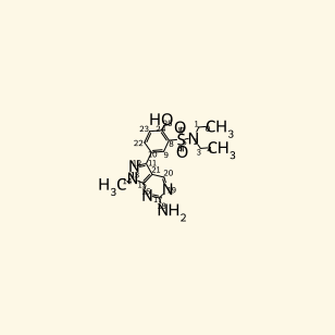 CCN(CC)S(=O)(=O)c1cc(-c2nn(C)c3nc(N)ncc23)ccc1O